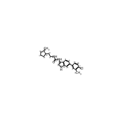 Cc1cc(-c2ccc3c(NC(=O)NCCC4CCCN4C)n[nH]c3c2)ccc1Cl